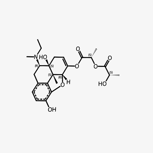 CCN(C)[C@@H]1Cc2ccc(O)c3c2[C@@]2(C)[C@@H](O3)C(OC(=O)[C@H](C)OC(=O)[C@H](C)O)=CC[C@@]12O